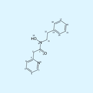 O=C(Cc1ccccn1)N(O)CCc1ccccc1